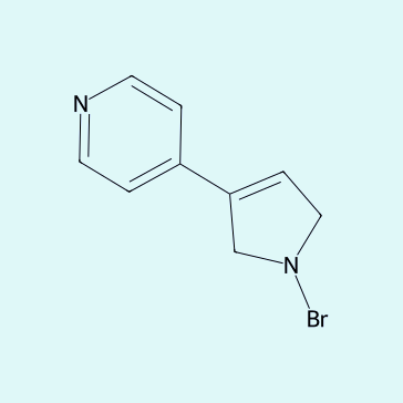 BrN1CC=C(c2ccncc2)C1